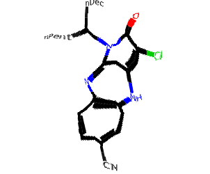 CCCCCCCCCCC(CCCCC)n1c2nc3ccc(C#N)cc3[nH]c-2c(Cl)c1=O